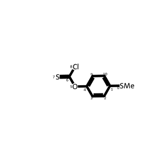 CSc1ccc(OC(=S)Cl)cc1